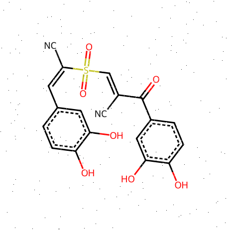 N#CC(=CS(=O)(=O)C(C#N)=Cc1ccc(O)c(O)c1)C(=O)c1ccc(O)c(O)c1